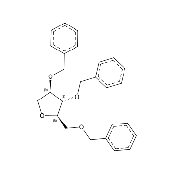 c1ccc(COC[C@H]2OC[C@@H](OCc3ccccc3)[C@@H]2OCc2ccccc2)cc1